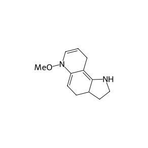 CON1C=CCC2=C3NCCC3CC=C21